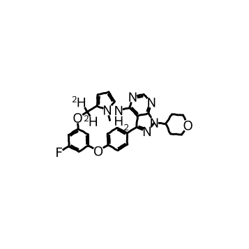 [2H]C([2H])(Oc1cc(F)cc(Oc2ccc(-c3nn(C4CCOCC4)c4ncnc(N)c34)cc2)c1)c1cccn1C